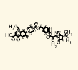 CCn1cc(C(=O)O)c(=O)c2cc(F)c(N3CCN(C(=O)OCc4ccc(NC(=O)[C@H](C)c5nnc6n5C(=O)C[C@H]6C(C)C)cc4)CC3)cc21